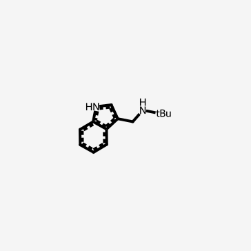 CC(C)(C)NCc1c[nH]c2ccccc12